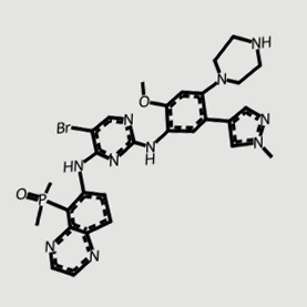 COc1cc(N2CCNCC2)c(-c2cnn(C)c2)cc1Nc1ncc(Br)c(Nc2ccc3nccnc3c2P(C)(C)=O)n1